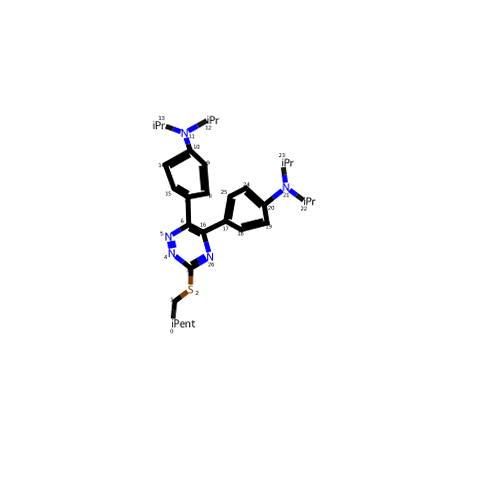 CCCC(C)CSc1nnc(-c2ccc(N(C(C)C)C(C)C)cc2)c(-c2ccc(N(C(C)C)C(C)C)cc2)n1